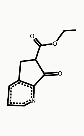 CCOC(=O)C1Cc2cccnc2C1=O